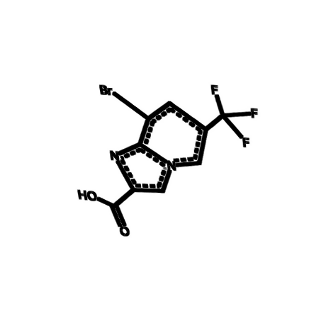 O=C(O)c1cn2cc(C(F)(F)F)cc(Br)c2n1